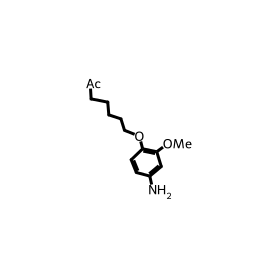 COc1cc(N)ccc1OCCCCCC(C)=O